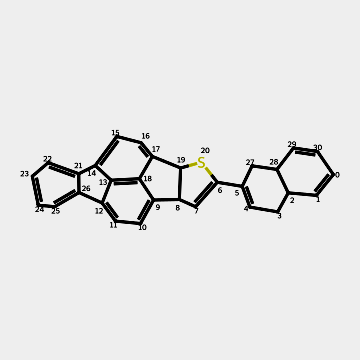 C1=CC2CC=C(C3=CC4c5ccc6c7c(ccc(c57)C4S3)-c3ccccc3-6)CC2C=C1